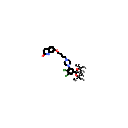 C[Si](C)(C)O[Si](C)(O[Si](C)(C)C)c1cc(Cl)c(Cl)c(N2CCN(CCCCOc3ccc4c(c3)NC(=O)CC4)CC2)c1